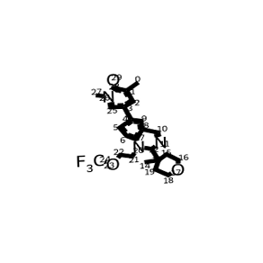 Cc1cc(-c2ccc3c(c2)C=NC(C2(C)CCOCC2)N3CCOC(F)(F)F)cn(C)c1=O